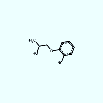 [CH2]C(O)COc1ccccc1C#N